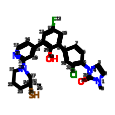 Cn1ccn(-c2ccc(-c3cc(F)cc(-c4ccnc(N5CCC[C@](C)(S)C5)c4)c3O)cc2Cl)c1=O